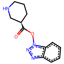 O=C(On1nnc2ccccc21)[C@@H]1CCCNC1